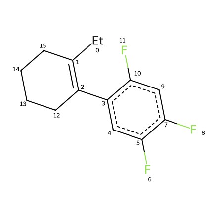 CCC1=C(c2cc(F)c(F)cc2F)CCCC1